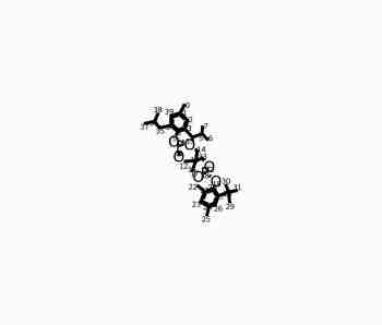 Cc1cc(CC(C)C)c(OP2OCC3(CO2)COP(Oc2c(C)cc(C)cc2C(C)(C)C)OC3)c(CC(C)C)c1